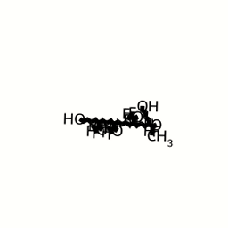 CC(F)(F)C(=O)N(CCCCO)CCCN(CCCCN(CCCN(CCCCO)C(=O)C(F)(F)F)C(=O)C(F)(F)F)C(=O)C(F)(F)F